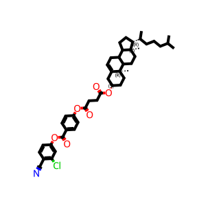 CC(C)CCCC(C)[C@H]1CCC2C3CC=C4C[C@@H](OC(=O)CCC(=O)Oc5ccc(C(=O)Oc6ccc(C#N)c(Cl)c6)cc5)CC[C@]4(C)C3CC[C@@]21C